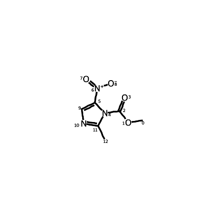 COC(=O)n1c([N+](=O)[O-])cnc1C